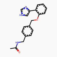 CC(=O)NCc1ccc(COc2ccccc2-c2c[nH]cn2)cc1